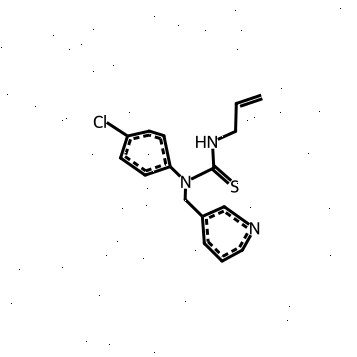 C=CCNC(=S)N(Cc1cccnc1)c1ccc(Cl)cc1